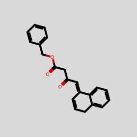 O=C(C=C1C=CCc2ccccc21)CC(=O)OCc1ccccc1